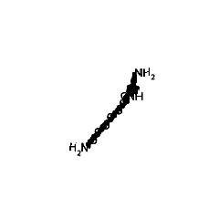 NCC#Cc1ccc(NC(=O)COCCOCCOCCOCCOCCOCCN)cc1